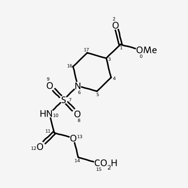 COC(=O)C1CCN(S(=O)(=O)NC(=O)OCC(=O)O)CC1